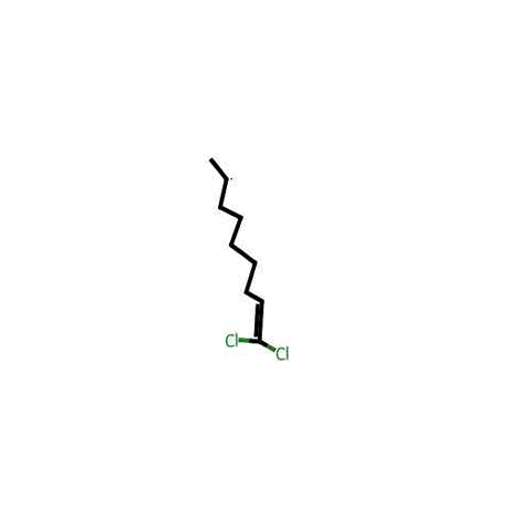 C[CH]CCCCCC=C(Cl)Cl